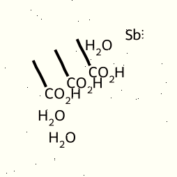 CC(=O)O.CC(=O)O.CC(=O)O.O.O.O.[Sb]